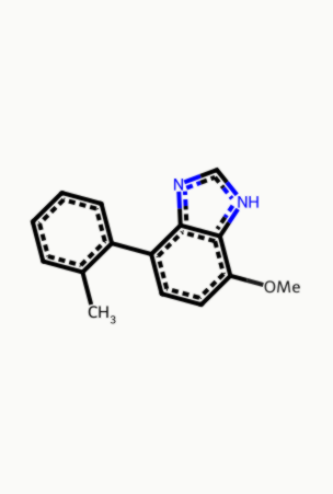 COc1ccc(-c2ccccc2C)c2nc[nH]c12